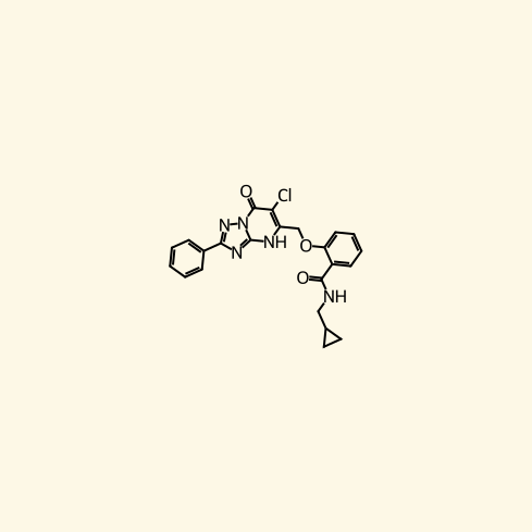 O=C(NCC1CC1)c1ccccc1OCc1[nH]c2nc(-c3ccccc3)nn2c(=O)c1Cl